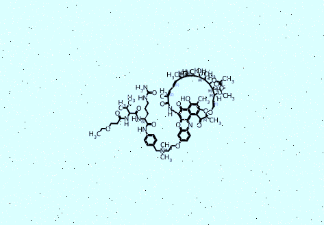 CCOCCC(=O)NC(C(=O)N[C@@H](CCCNC(N)=O)C(=O)Nc1ccc(C[N+](C)(C)CCOc2ccc3nc4c5c6c7c(C)c(O)c5c(=O)c(c-4oc3c2)NC(=O)/C(C)=C\C=C\[C@H](C)[C@H](O)[C@@H](C)[C@@H](O)[C@@H](C)C(OC(C)=O)[C@H](C)[C@@H](OC)/C=C/O[C@@](C)(O7)C6=O)cc1)C(C)C